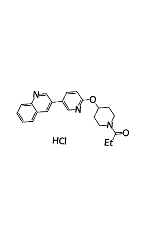 CCC(=O)N1CCC(Oc2ccc(-c3cnc4ccccc4c3)cn2)CC1.Cl